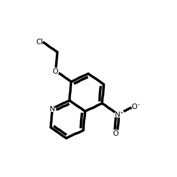 O=[N+]([O-])c1ccc(OCCl)c2ncccc12